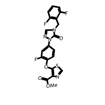 COC(=O)c1ncsc1Oc1ccc(-n2ncn(Cc3c(F)cccc3F)c2=O)cc1F